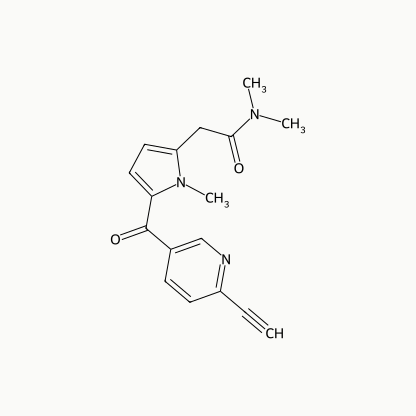 C#Cc1ccc(C(=O)c2ccc(CC(=O)N(C)C)n2C)cn1